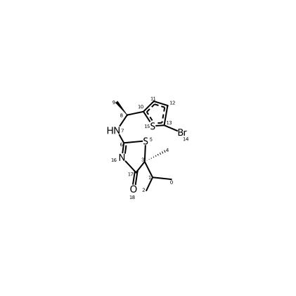 CC(C)[C@]1(C)SC(N[C@@H](C)c2ccc(Br)s2)=NC1=O